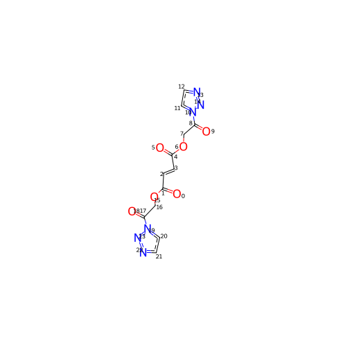 O=C(/C=C/C(=O)OCC(=O)n1ccnn1)OCC(=O)n1ccnn1